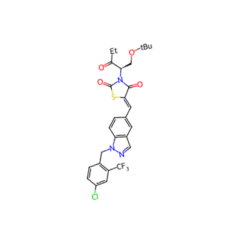 CCC(=O)[C@@H](COC(C)(C)C)N1C(=O)S/C(=C\c2ccc3c(cnn3Cc3ccc(Cl)cc3C(F)(F)F)c2)C1=O